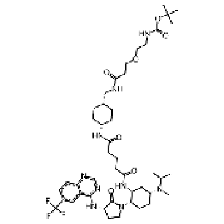 CC(C)N(C)[C@@H]1CC[C@H](N2CC[C@H](Nc3ncnc4ccc(C(F)(F)F)cc34)C2=O)[C@H](NC(=O)CCCC(=O)N[C@H]2CC[C@@H](CNC(=O)CCOCCNC(=O)OC(C)(C)C)CC2)C1